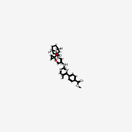 COC(=O)c1ccc(-c2nc(Nc3cnn(C4C[C@H]5CC[C@@H](C4)N5C(=O)C4(C)CC4)c3)ncc2C)cc1